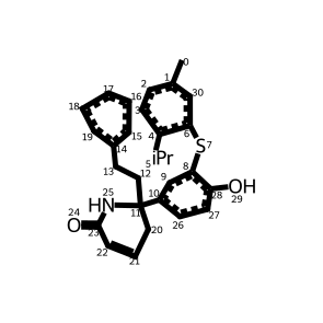 Cc1ccc(C(C)C)c(Sc2cc(C3(CCc4ccccc4)CC=CC(=O)N3)ccc2O)c1